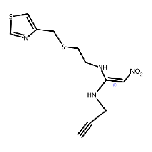 C#CCN/C(=C/[N+](=O)[O-])NCCSCc1cscn1